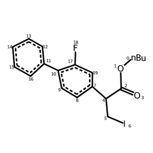 CCCCOC(=O)C(CI)c1ccc(-c2ccccc2)c(F)c1